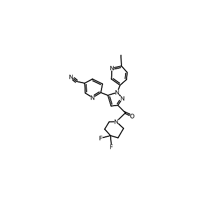 Cc1ccc(-n2nc(C(=O)N3CCC(F)(F)CC3)cc2-c2ccc(C#N)cn2)cn1